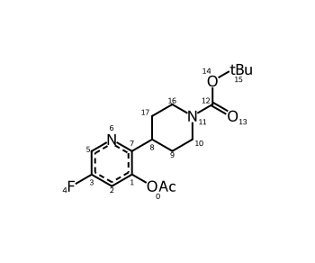 CC(=O)Oc1cc(F)cnc1C1CCN(C(=O)OC(C)(C)C)CC1